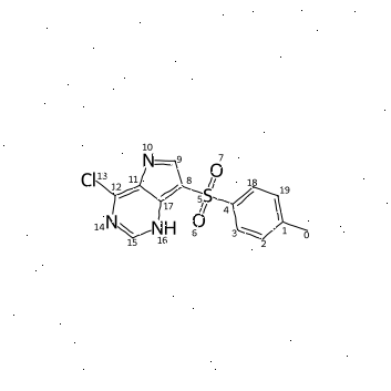 Cc1ccc(S(=O)(=O)c2cnc3c(Cl)nc[nH]c2-3)cc1